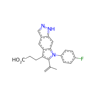 C=C(C)c1c(CCC(=O)O)c2cc3cn[nH]c3cc2n1-c1ccc(F)cc1